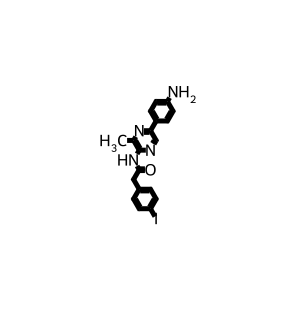 Cc1nc(-c2ccc(N)cc2)cnc1NC(=O)Cc1ccc(I)cc1